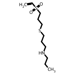 C=CS(=O)(=O)CCCSCCCNCCC